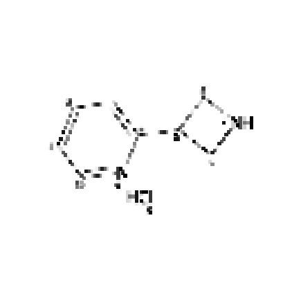 Cl.c1ccc(C2CNC2)nc1